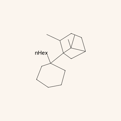 CCCCCCC1(C23CC(CCC2C)C3(C)C)CCCCC1